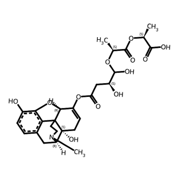 C[C@H](OC(=O)[C@H](C)OC(O)[C@@H](O)CC(=O)OC1=CC[C@@]2(O)[C@H]3Cc4ccc(O)c5c4C2(CCN3C)[C@H]1O5)C(=O)O